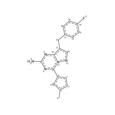 Cc1ccc(-c2nc(N)nc3c(Cc4ccc(F)cc4)cnn23)o1